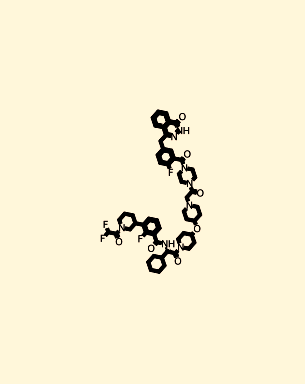 O=C(N[C@@H](C(=O)N1CCC(OC2CCN(CC(=O)N3CCN(C(=O)c4cc(Cc5n[nH]c(=O)c6ccccc56)ccc4F)CC3)CC2)CC1)C1CCCCC1)c1cccc(C2CCCN(C(=O)C(F)F)C2)c1F